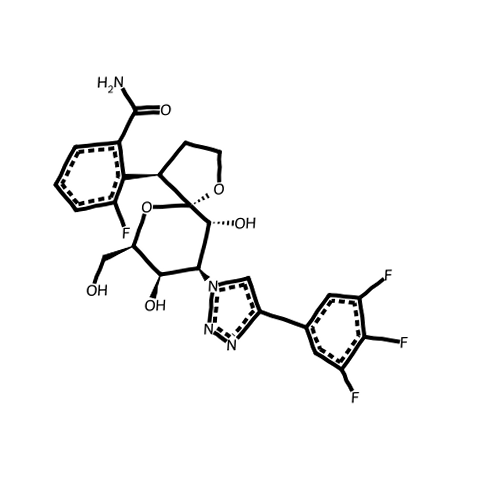 NC(=O)c1cccc(F)c1[C@H]1CCO[C@]12O[C@H](CO)[C@H](O)[C@H](n1cc(-c3cc(F)c(F)c(F)c3)nn1)[C@H]2O